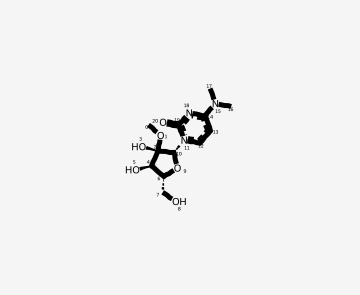 CO[C@@]1(O)[C@H](O)[C@@H](CO)O[C@H]1n1ccc(N(C)C)nc1=O